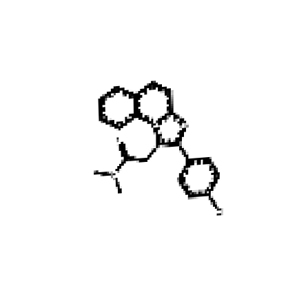 CN(C)C(=O)Cc1c(-c2ccc(Cl)cc2)nc2ccc3ccccc3n12